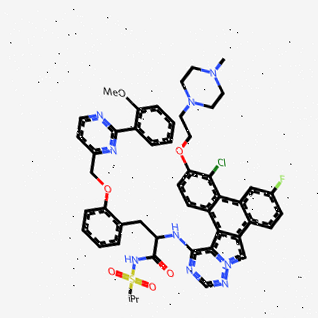 COc1ccccc1-c1nccc(COc2ccccc2CC(Nc2ncnn3cc4c5ccc(F)cc5c5c(Cl)c(OCCN6CCN(C)CC6)ccc5c4c23)C(=O)NS(=O)(=O)C(C)C)n1